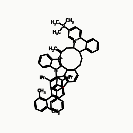 C=C1CC2C(CCc3ccc4c(oc5cc(-c6c(C)cccc6C)ccc54)c3-c3n(-c4c(C(C)C)cc(-c5ccccc5)cc4C(C)C)c4ccccc4[n+]31)c1ccccc1-c1ccc([Si](C)(C)C)c[n+]12